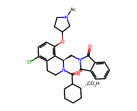 CC(=O)N1CCC(Oc2ccc(Cl)c3c2[C@@H](CN2C(=O)c4ccccc4C2=O)N(C(=O)C2CCCC[C@H]2C(=O)O)CC3)C1